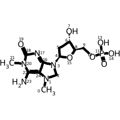 CN1CN([C@H]2C[C@H](O)[C@@H](COP(=O)(O)O)O2)c2nc(=O)n(C)c(N)c21